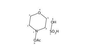 CC(=O)ON1CCOCC1.O=S(=O)(O)O